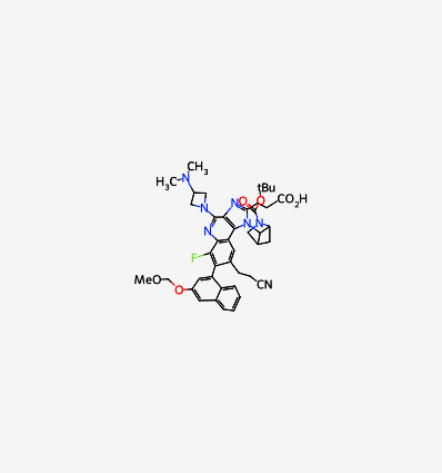 COCOc1cc(-c2c(CCC#N)cc3c(nc(N4CC(N(C)C)C4)c4nc(CCC(=O)O)n(C5C6CC5N(C(=O)OC(C)(C)C)C6)c43)c2F)c2ccccc2c1